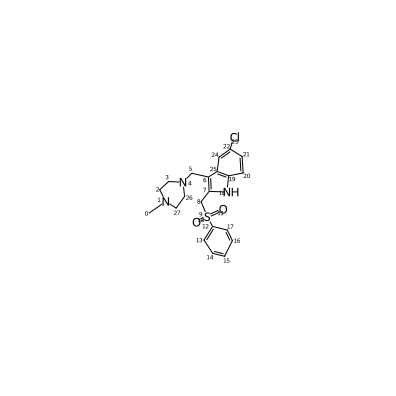 CN1CCN(Cc2c(CS(=O)(=O)c3ccccc3)[nH]c3ccc(Cl)cc23)CC1